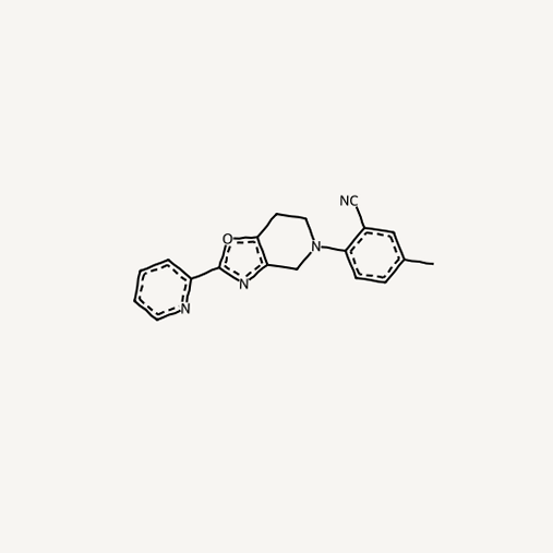 Cc1ccc(N2CCc3oc(-c4ccccn4)nc3C2)c(C#N)c1